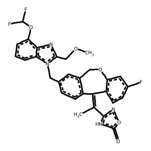 COCc1nc2c(OC(F)F)cccc2n1Cc1ccc2c(c1)COc1cc(F)ccc1C2=C(C)c1noc(=O)[nH]1